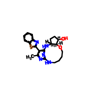 Cc1nc2nc(c1-c1nc3ccccc3s1)N[C@@H]1CC[C@@H](O)[C@H]1OCCCCN2